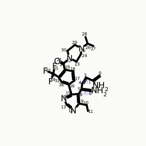 C=C(N)/C=C\C(=C/N)c1c(CC)ncnc1-c1ccc(C(=O)N2CCN(C(C)C)CC2)c(C(F)(F)F)c1